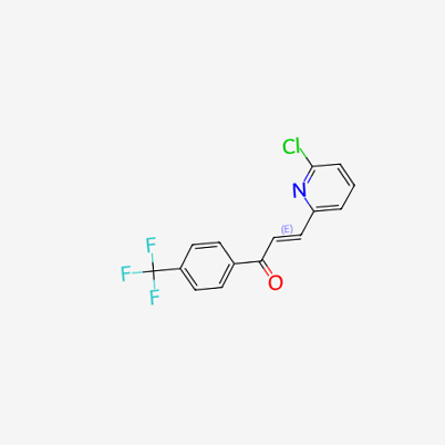 O=C(/C=C/c1cccc(Cl)n1)c1ccc(C(F)(F)F)cc1